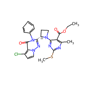 CCOC(=O)c1c(C)nc(SC)nc1N1CC[C@H]1c1nn2ccc(Cl)c2c(=O)n1-c1ccccc1